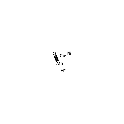 [Co].[H+].[Ni].[O]=[Mn]